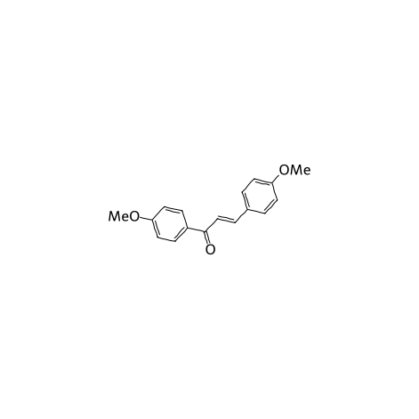 COc1ccc(C=CC(=O)c2ccc(OC)cc2)cc1